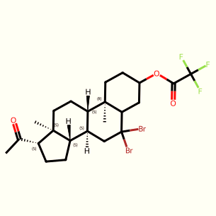 CC(=O)[C@H]1CC[C@H]2[C@@H]3CC(Br)(Br)C4CC(OC(=O)C(F)(F)F)CC[C@]4(C)[C@H]3CC[C@]12C